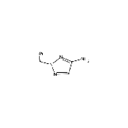 CC(C)Cn1ncc(N)n1